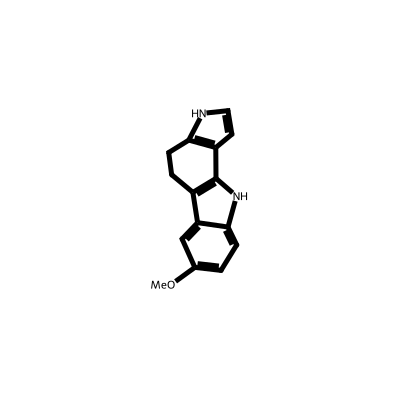 COc1ccc2[nH]c3c(c2c1)CCc1[nH]ccc1-3